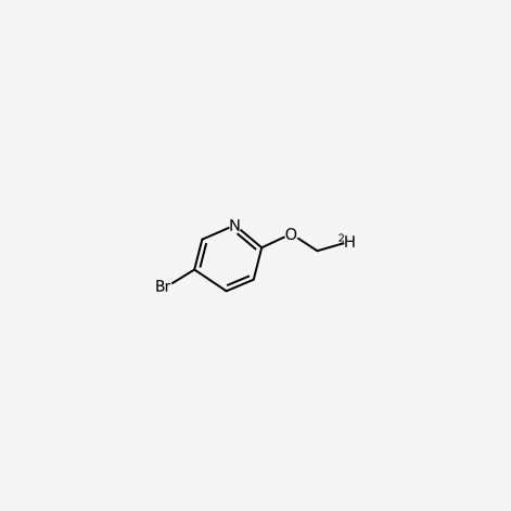 [2H]COc1ccc(Br)cn1